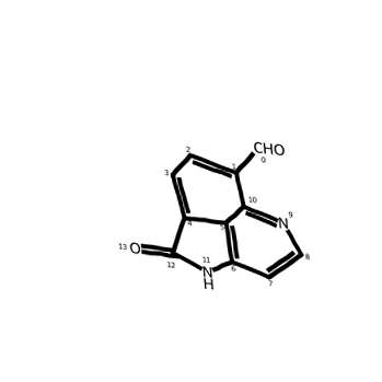 O=Cc1ccc2c3c(ccnc13)NC2=O